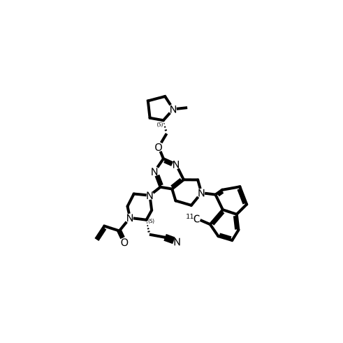 C=CC(=O)N1CCN(c2nc(OC[C@@H]3CCCN3C)nc3c2CCN(c2cccc4cccc([11CH3])c24)C3)C[C@@H]1CC#N